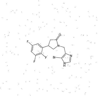 O=C1CC(c2cc(F)cc(F)c2F)CN1Cc1nc[nH]c1Br